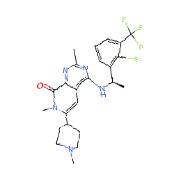 Cc1nc(N[C@H](C)c2cccc(C(F)(F)F)c2F)c2cc(C3CCN(C)CC3)n(C)c(=O)c2n1